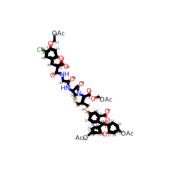 CC(=O)OCOC(=O)C1=C(CSc2ccc3c(c2)C(=O)OC32c3ccc(OC(C)=O)cc3Oc3cc(OC(C)=O)ccc32)CSC2C(NC(=O)CNC(=O)c3cc4cc(Cl)c(OCOC(C)=O)cc4oc3=O)C(=O)N12